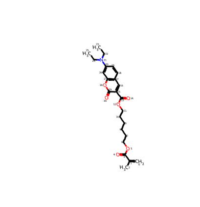 C=C(C)C(=O)OCCCCCCOC(=O)c1cc2ccc(N(CC)CC)cc2oc1=O